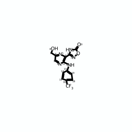 O=c1[nH]c(-c2nc(CO)cnc2Nc2ccc(C(F)(F)F)cc2)no1